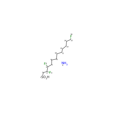 N.O=S(=O)(O)CC(F)C(F)CCCCCCCCCF